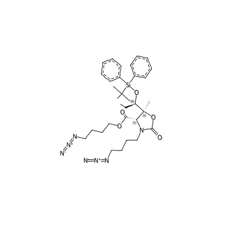 CC[C@@H](O[Si](c1ccccc1)(c1ccccc1)C(C)(C)C)[C@@]1(C)OC(=O)N(CCCCN=[N+]=[N-])[C@@H]1C(=O)OCCCCN=[N+]=[N-]